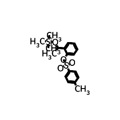 Cc1ccc(S(=O)(=O)Oc2ccccc2C(C)O[Si](C)(C)C)cc1